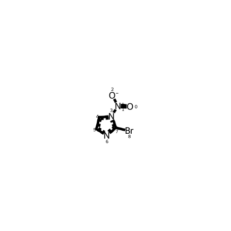 O=[N+]([O-])n1ccnc1Br